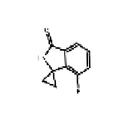 O=C1NC2(CC2)c2c(F)cccc21